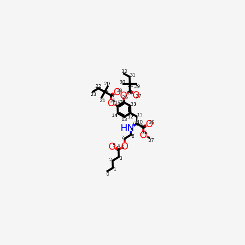 CCCCC(=O)OCCN[C@@H](Cc1ccc(OC(=O)C(C)(C)CC)c(OC(=O)C(C)(C)CC)c1)C(=O)OC